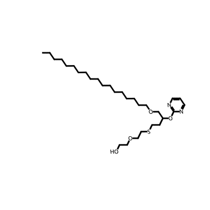 CCCCCCCCCCCCCCCCCCOCC(CCSCCOCCO)Oc1ncccn1